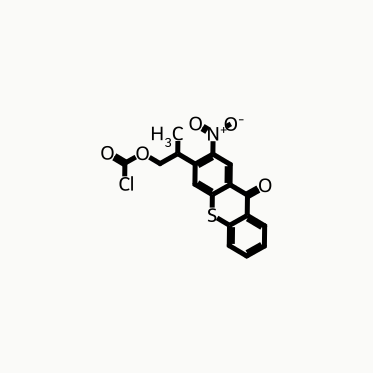 CC(COC(=O)Cl)c1cc2sc3ccccc3c(=O)c2cc1[N+](=O)[O-]